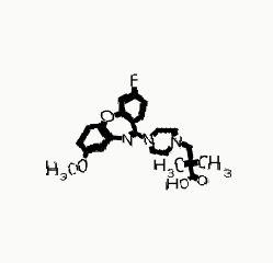 COc1ccc2c(c1)N=C(N1CCN(CC(C)(C)C(=O)O)CC1)c1ccc(F)cc1O2